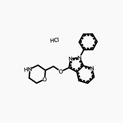 Cl.c1ccc(-n2nc(OCC3CNCCO3)c3cccnc32)cc1